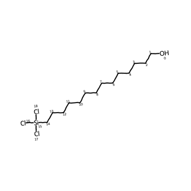 OCCCCCCCCCCCCCC[Si](Cl)(Cl)Cl